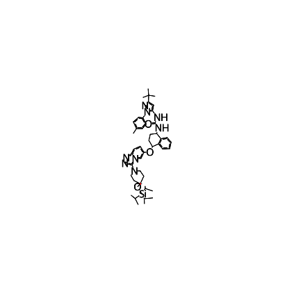 Cc1ccc(-n2nc(C(C)(C)C)cc2NC(=O)N[C@H]2CC[C@@H](Oc3ccc4nnc(N5CCC(C)(O[Si](C(C)C)(C(C)C)C(C)C)CC5)n4c3)c3ccccc32)cc1